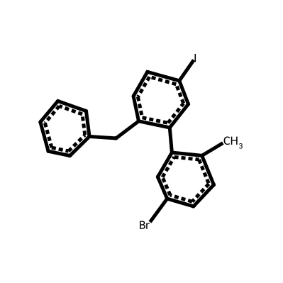 Cc1ccc(Br)cc1-c1cc(I)ccc1Cc1ccccc1